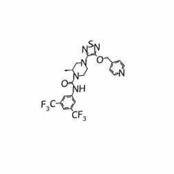 C[C@H]1CN(c2nsnc2OCc2ccncc2)CCN1C(=O)Nc1cc(C(F)(F)F)cc(C(F)(F)F)c1